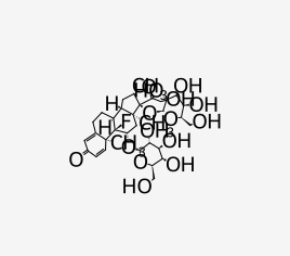 C[C@@H]1C[C@H]2[C@@H]3CCC4=CC(=O)C=C[C@]4(C)[C@@]3(F)[C@@H](O[C@@H]3O[C@H](CO)[C@H](O)[C@H](O)[C@H]3O)C[C@]2(C)[C@@]1(O[C@@H]1O[C@H](CO)[C@H](O)[C@H](O)[C@H]1O)C(=O)CO